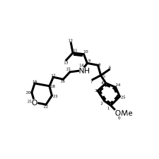 COc1ccc(C(C)(C)CC(C=C(C)C)NCCCC2CCOCC2)cc1